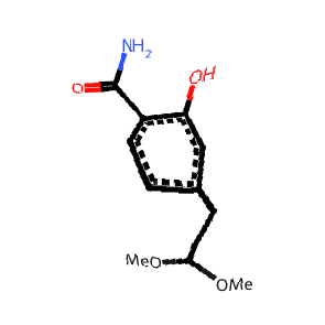 COC(Cc1ccc(C(N)=O)c(O)c1)OC